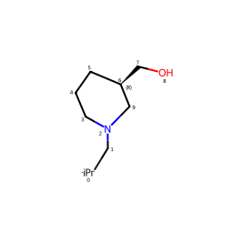 C[C](C)CN1CCC[C@@H](CO)C1